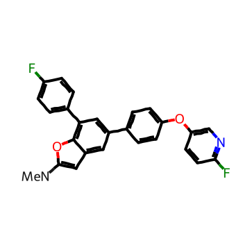 CNc1cc2cc(-c3ccc(Oc4ccc(F)nc4)cc3)cc(-c3ccc(F)cc3)c2o1